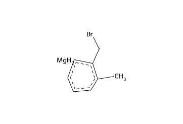 Cc1ccccc1CBr.[MgH2]